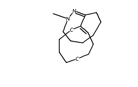 CN1CCCCCCC(/C2=C/CCCCCCC2)=N/1